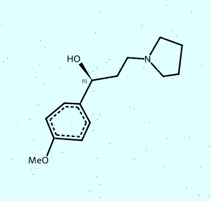 COc1ccc([C@@H](O)CCN2CCCC2)cc1